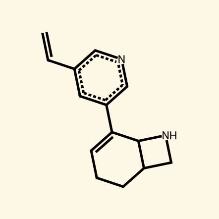 C=Cc1cncc(C2=CCCC3CNC23)c1